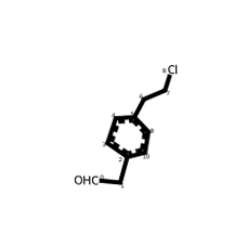 O=CCc1ccc(CCCl)cc1